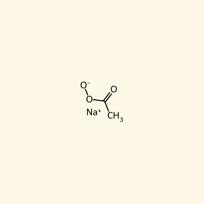 CC(=O)O[O-].[Na+]